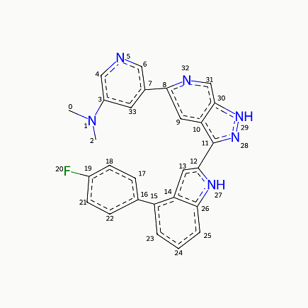 CN(C)c1cncc(-c2cc3c(-c4cc5c(-c6ccc(F)cc6)cccc5[nH]4)n[nH]c3cn2)c1